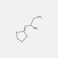 CCC(N)C=C1SCCS1